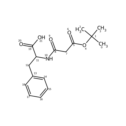 CC(C)(C)OC(=O)CC(=O)NC(Cc1ccccc1)C(=O)O